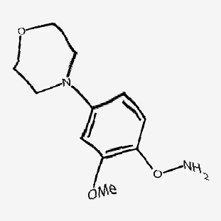 COc1cc(N2CCOCC2)ccc1ON